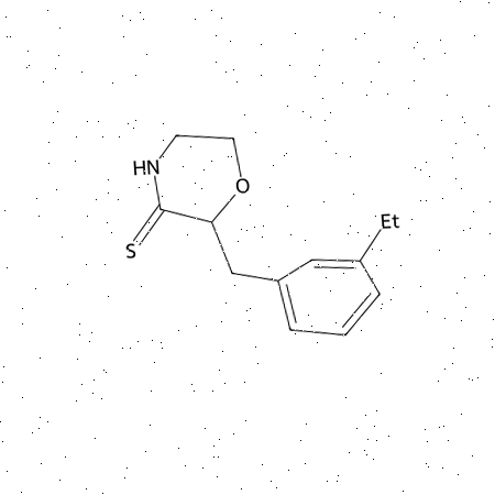 CCc1cccc(CC2OCCNC2=S)c1